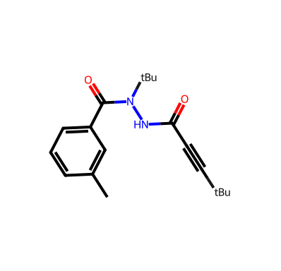 Cc1cccc(C(=O)N(NC(=O)C#CC(C)(C)C)C(C)(C)C)c1